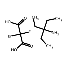 CCC(N)(CC)CC.O=C(O)C(F)(Br)C(=O)O